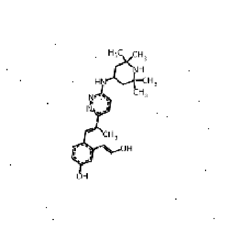 C/C(=C\c1ccc(O)cc1/C=C/O)c1ccc(NC2CC(C)(C)NC(C)(C)C2)nn1